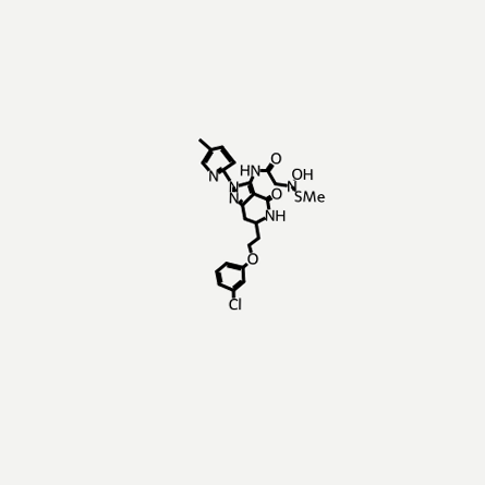 CSN(O)CC(=O)Nc1c2c(nn1-c1ccc(C)cn1)CC(CCOc1cccc(Cl)c1)NC2=O